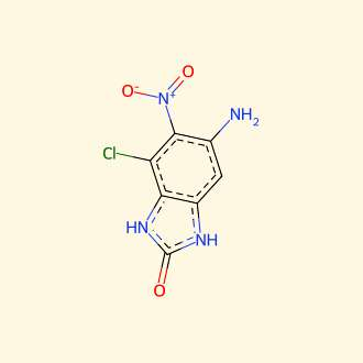 Nc1cc2[nH]c(=O)[nH]c2c(Cl)c1[N+](=O)[O-]